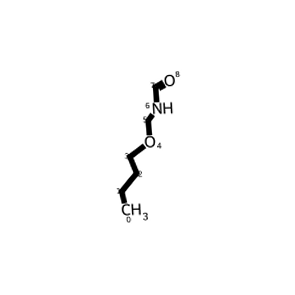 CCCCOCNC=O